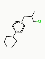 CC(CCl)Cc1ccc(C2CCCCC2)cc1